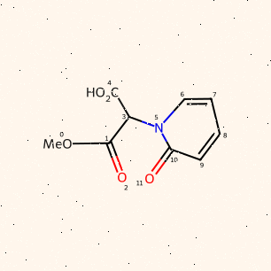 COC(=O)C(C(=O)O)n1ccccc1=O